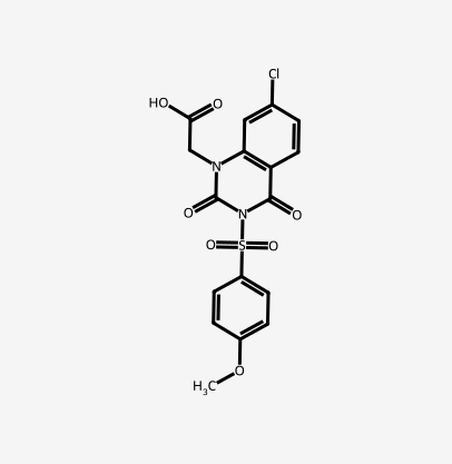 COc1ccc(S(=O)(=O)n2c(=O)c3ccc(Cl)cc3n(CC(=O)O)c2=O)cc1